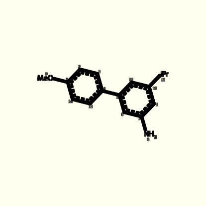 COc1ccc(-c2cc(N)cc(C(C)C)c2)cc1